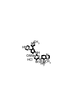 COc1cc(N2CCNCC2)c(-c2cnn(C)c2)cc1Nc1ncc(Br)c(Nc2ccc3nccnc3c2P(C)(C)=O)n1.Cl